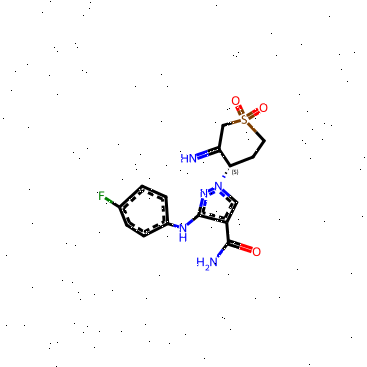 N=C1CS(=O)(=O)CC[C@@H]1n1cc(C(N)=O)c(Nc2ccc(F)cc2)n1